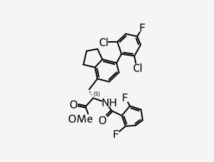 COC(=O)[C@H](Cc1ccc(-c2c(Cl)cc(F)cc2Cl)c2c1CCC2)NC(=O)c1c(F)cccc1F